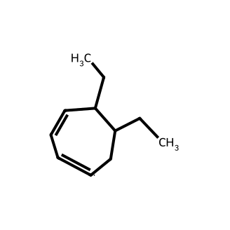 CCC1C=CC=[C]CC1CC